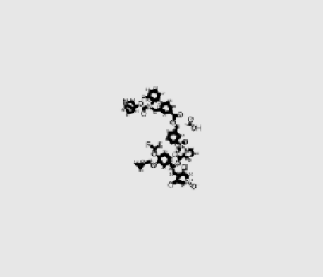 O=C(OCc1cccc(S(=O)(=O)N2CCSC2C(=O)OC(Cc2c(Cl)c[n+]([O-])cc2Cl)c2ccc(OC(F)F)c(OCC3CC3)c2)c1)c1cccc(CN(C(=O)OC2CN3CCC2CC3)c2ccccc2F)c1.O=CO